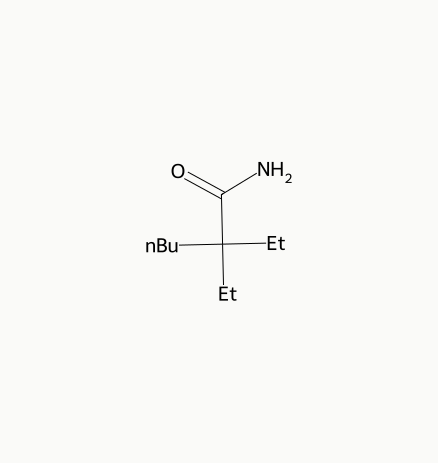 CCCCC(CC)(CC)C(N)=O